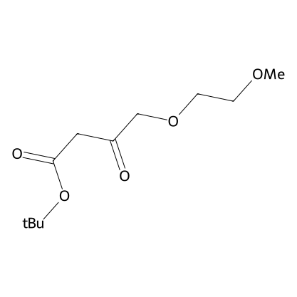 COCCOCC(=O)CC(=O)OC(C)(C)C